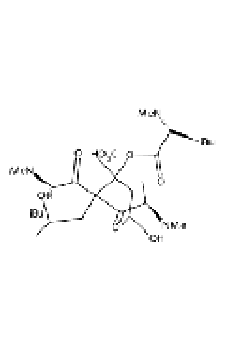 CC[C@H](C)[C@@H](NC)C(=O)OC(CC(C)O)(C(=O)O)C(CC(C)O)(C(=O)[C@@H](C)NC)C(=O)[C@H](NC)[C@@H](C)CC